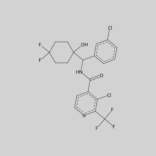 O=C(NC(c1cccc(Cl)c1)C1(O)CCC(F)(F)CC1)c1ccnc(C(F)(F)F)c1Cl